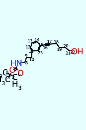 CC(C)(C)OC(=O)NCCCc1cccc(C#CCCCCO)c1